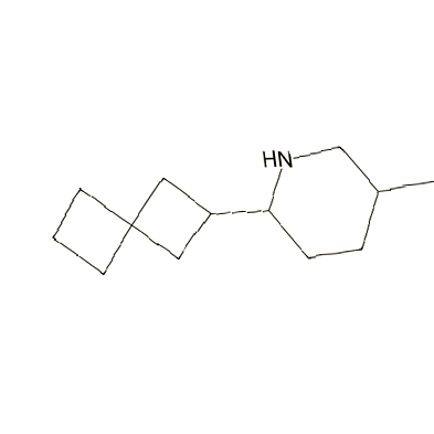 CC1CCC(C2CC3(CCC3)C2)NC1